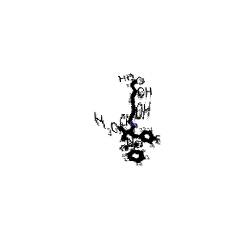 CC(C)c1cn(S(=O)(=O)c2ccccc2)c(-c2ccc(F)cc2)c1/C=C/[C@@H](O)C[C@@H](O)CC(=O)O